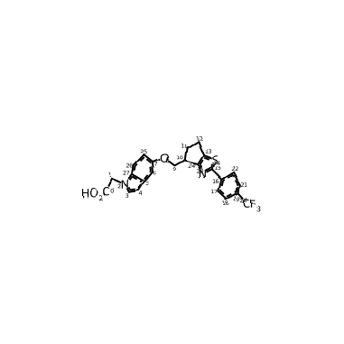 O=C(O)Cn1ccc2cc(OCC3CCc4sc(-c5ccc(C(F)(F)F)cc5)nc43)ccc21